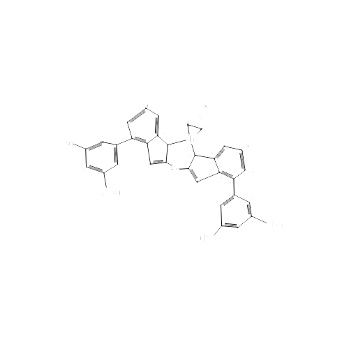 CCC1=Cc2c(-c3cc(C(C)(C)C)cc(C(C)(C)C)c3)cccc2[CH]1[Ti+2]1([CH]2C(CC)=Cc3c(-c4cc(C(C)(C)C)cc(C(C)(C)C)c4)cccc32)[CH2][CH2]1.[Cl-].[Cl-]